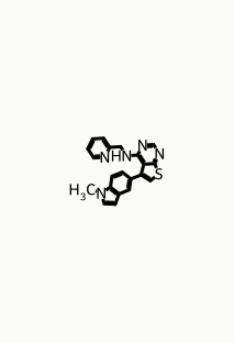 Cn1ccc2cc(-c3csc4ncnc(NCc5ccccn5)c34)ccc21